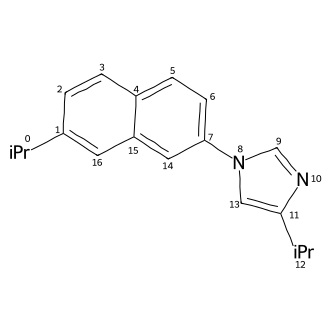 CC(C)c1ccc2ccc(-n3cnc(C(C)C)c3)cc2c1